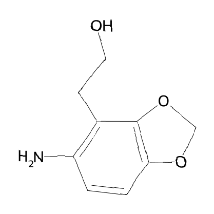 Nc1ccc2c(c1CCO)OCO2